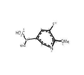 COc1ncc(N(C(=O)O)C(C)(C)C)cc1F